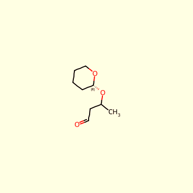 CC(CC=O)O[C@@H]1CCCCO1